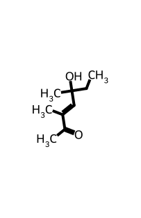 CCC(C)(O)/C=C(\C)C(C)=O